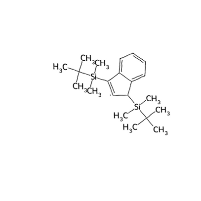 CC(C)(C)[Si](C)(C)C1=[C]C([Si](C)(C)C(C)(C)C)c2ccccc21